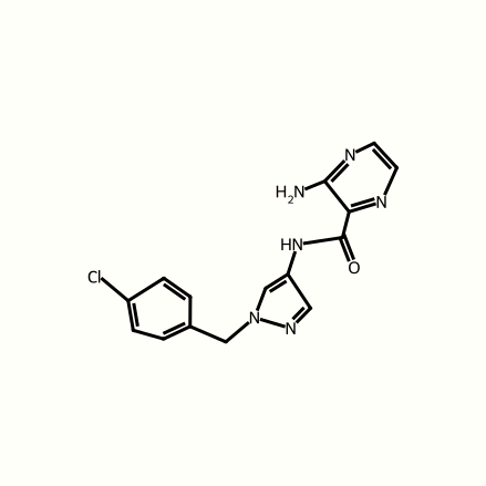 Nc1nccnc1C(=O)Nc1cnn(Cc2ccc(Cl)cc2)c1